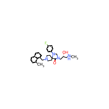 CNC[C@@H](O)CN1CN(c2ccc(F)cc2)C2(CCN(Cc3cccc4cccc(C)c34)CC2)C1=O